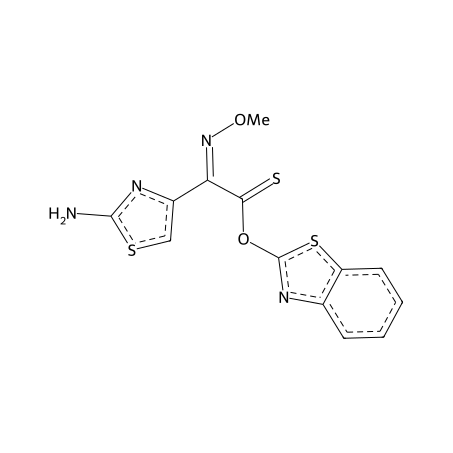 CO/N=C(\C(=S)Oc1nc2ccccc2s1)c1csc(N)n1